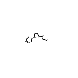 O=C(O)/C(O)=C\C(=O)c1ccc(-c2ccc(F)cc2)s1